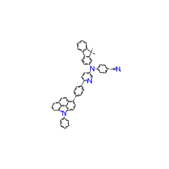 CC1(C)c2ccccc2-c2ccc(N(c3ccc(C#N)cc3)c3ccc(-c4ccc(-c5ccc6c7c5ccc5cccc(c57)n6-c5ccccc5)cc4)nc3)cc21